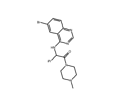 CC(C)C(Nc1ncnc2ccc(Br)cc12)C(=O)N1CCN(C)CC1